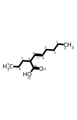 CCCC/C=C/C(CCC)C(=O)O